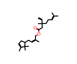 C=CC(C)(CCC=C(C)C)CC(=O)OCC(C)=CCC1CC=C(C)C1(C)C